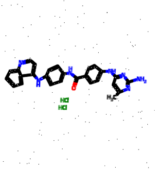 Cc1cc(Nc2ccc(C(=O)Nc3ccc(Nc4ccnc5ccccc45)cc3)cc2)nc(N)n1.Cl.Cl